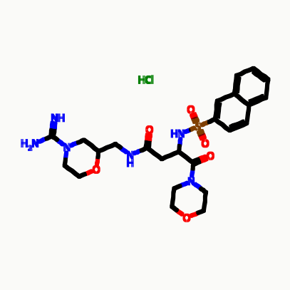 Cl.N=C(N)N1CCOC(CNC(=O)CC(NS(=O)(=O)c2ccc3ccccc3c2)C(=O)N2CCOCC2)C1